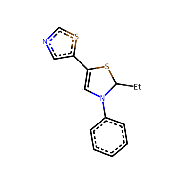 CCC1SC(c2cncs2)=[C]N1c1ccccc1